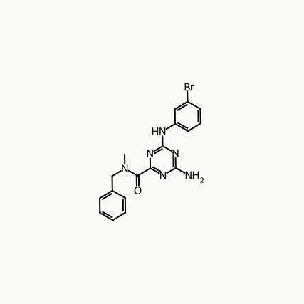 CN(Cc1ccccc1)C(=O)c1nc(N)nc(Nc2cccc(Br)c2)n1